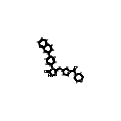 O=C(N1CCOCC1)N1CC[C@@H](Cc2n[nH]c(=O)n2-c2ccc(-c3ccc4cccnc4c3)cc2)C1